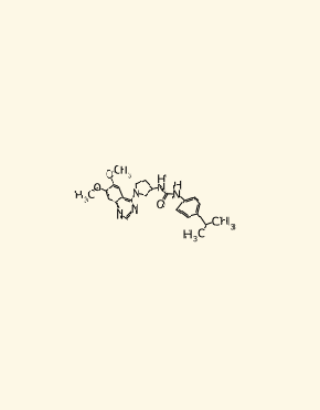 COc1cc2ncnc(N3CCC(NC(=O)Nc4ccc(C(C)C)cc4)C3)c2cc1OC